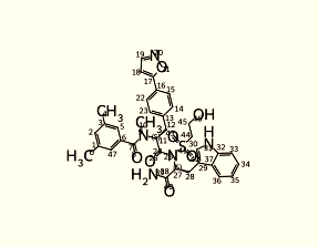 Cc1cc(C)cc(C(=O)N(C)[C@@H](Cc2ccc(-c3ccno3)cc2)C(=O)N([C@@H](Cc2c[nH]c3ccccc23)C(N)=O)S(=O)(=O)CCO)c1